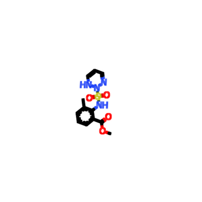 COC(=O)c1cccc(C)c1NS(=O)(=O)N1N=CC=CN1